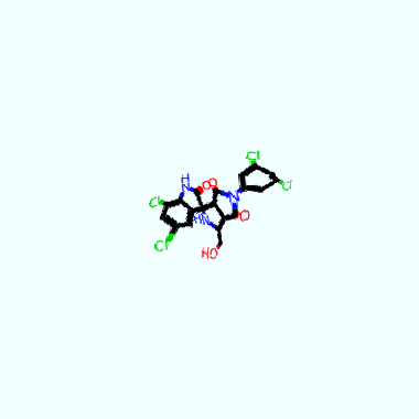 O=C1C2C(CO)NC3(C(=O)Nc4c(Cl)cc(Cl)cc43)C2C(=O)N1c1cc(Cl)cc(Cl)c1